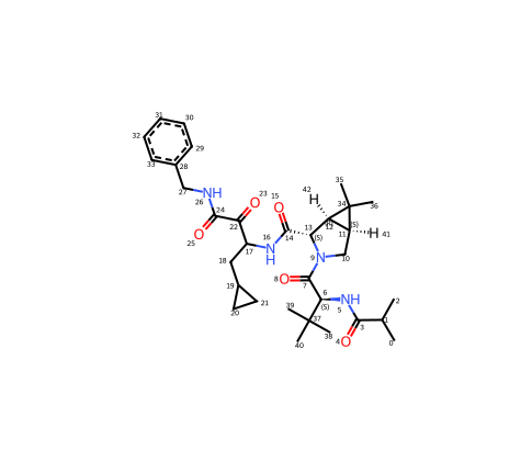 CC(C)C(=O)N[C@H](C(=O)N1C[C@H]2[C@@H]([C@H]1C(=O)NC(CC1CC1)C(=O)C(=O)NCc1ccccc1)C2(C)C)C(C)(C)C